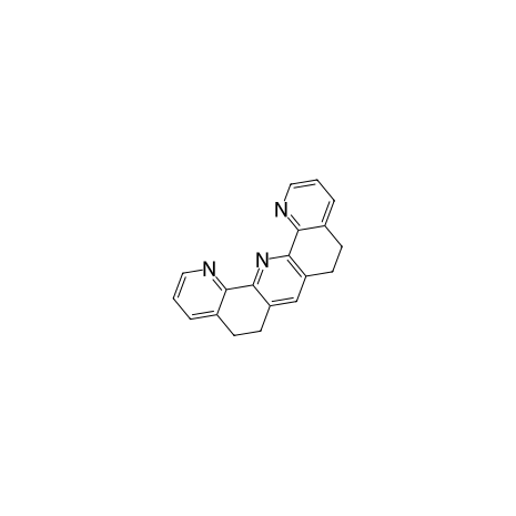 c1cnc2c(c1)CCc1cc3c(nc1-2)-c1ncccc1CC3